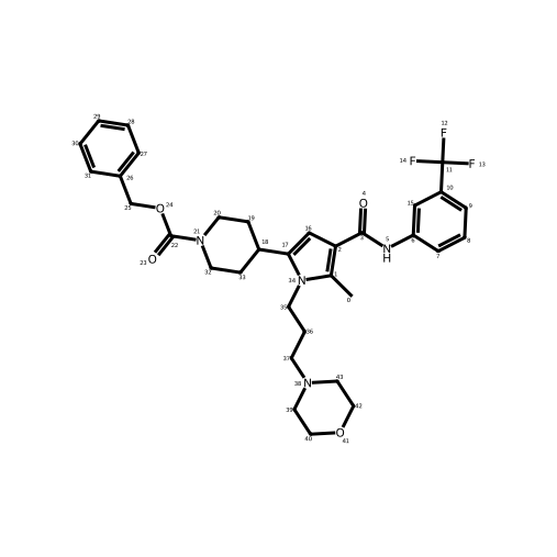 Cc1c(C(=O)Nc2cccc(C(F)(F)F)c2)cc(C2CCN(C(=O)OCc3ccccc3)CC2)n1CCCN1CCOCC1